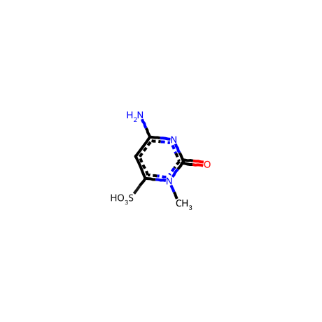 Cn1c(S(=O)(=O)O)cc(N)nc1=O